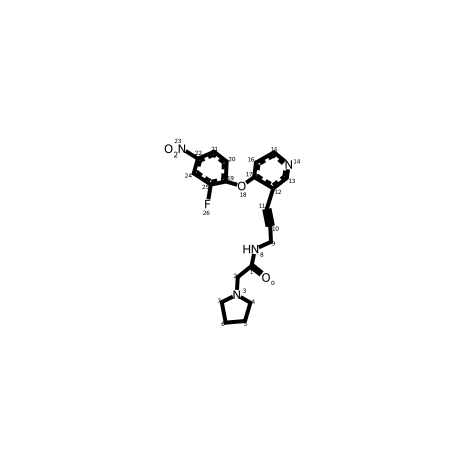 O=C(CN1CCCC1)NCC#Cc1cnccc1Oc1ccc([N+](=O)[O-])cc1F